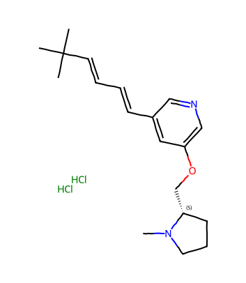 CN1CCC[C@H]1COc1cncc(C=CC=CC(C)(C)C)c1.Cl.Cl